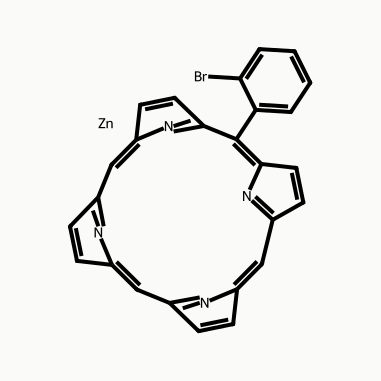 Brc1ccccc1C1=C2C=CC(=N2)C=C2C=CC(=N2)C=C2C=CC(=N2)C=C2C=CC1=N2.[Zn]